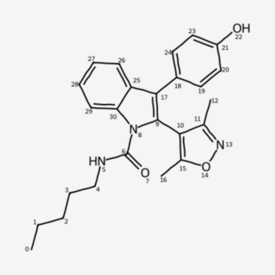 CCCCCNC(=O)n1c(-c2c(C)noc2C)c(-c2ccc(O)cc2)c2ccccc21